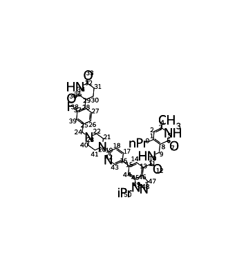 CCCc1cc(C)[nH]c(=O)c1CNC(=O)c1cc(-c2ccc(N3CCN(Cc4ccc(C5CCC(=O)NC5=O)c(F)c4)CC3)nc2)cc2c1cnn2C(C)C